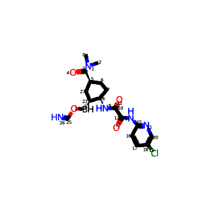 CN(C)C(=O)[C@H]1CC[C@H](NC(=O)C(=O)Nc2ccc(Cl)cn2)[C@H](BOC=N)C1